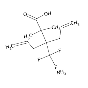 C=CCC(CC=C)(C(F)(F)F)C(C)(C)C(=O)O.N